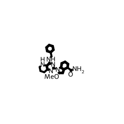 COc1cc2c(C(N)=O)cccc2n1-c1nc2c(c(NCc3ccccc3)n1)NCCC2